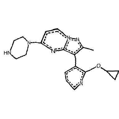 Cc1nn2ccc(N3CCNCC3)nc2c1-c1cccnc1OC1CC1